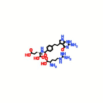 N=C(N)NCCCC(N)C(=O)O.Nc1nc(=O)c2c(CCc3ccc(C(=O)N[C@@H](CCC(=O)O)C(=O)O)cc3)c[nH]c2[nH]1